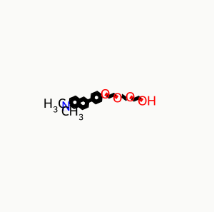 CN(C)c1ccc2cc(-c3ccc(OCCOCCOCCO)cc3)ccc2c1